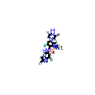 CCn1cc2c(N3C[C@H](C)N[C@@H](C)C3)cc(F)c(C(=O)Nc3cc(F)c4nc(C)cn4c3)c2n1